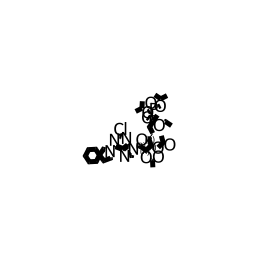 CCOP(=O)(CC[C@H]1O[C@@H](n2cnc3c(N4CCC5(CCCCC5)C4)nc(Cl)nc32)[C@H](OC(C)=O)[C@@H]1OC(C)=O)CP(=O)(OC(C)C)OC(C)C